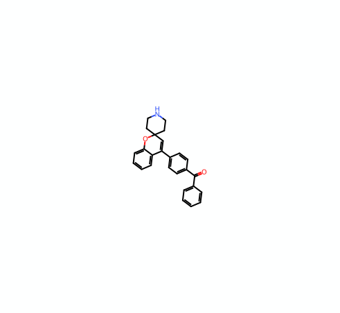 O=C(c1ccccc1)c1ccc(C2=CC3(CCNCC3)Oc3ccccc32)cc1